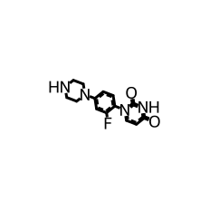 O=c1ccn(-c2ccc(N3CCNCC3)cc2F)c(=O)[nH]1